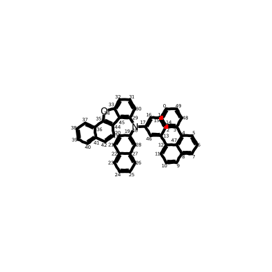 c1ccc(-c2cccc3cccc(-c4cccc(N(c5ccc6ccccc6c5)c5cccc6oc7c8ccccc8ccc7c56)c4)c23)cc1